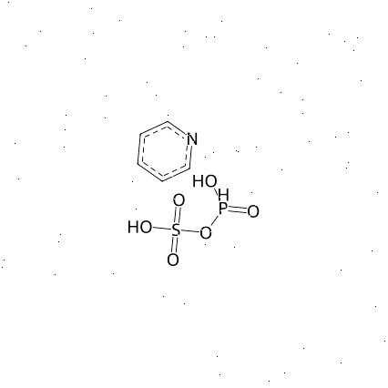 O=[PH](O)OS(=O)(=O)O.c1ccncc1